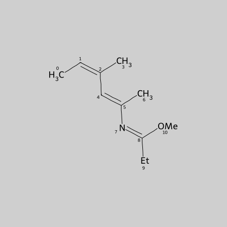 C\C=C(C)/C=C(C)/N=C(/CC)OC